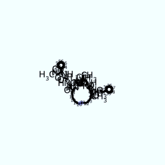 CN(C)C(=O)[C@@H](NC(=O)CNC(=O)C(=O)[C@@H]1CCCC/C=C/CCCC(C)(C)[C@H](NC(=O)OCc2ccccc2)C(=O)N2C[C@H]3[C@@H]([C@H]2C(=O)N1)C3(C)C)c1ccccc1